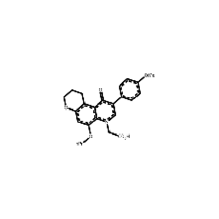 CCCOc1cc2c(c3c(=O)c(-c4ccc(OC)cc4)cn(CC(=O)O)c13)CCCO2